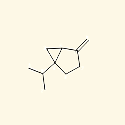 C=C1[CH]CC2(C(C)C)CC12